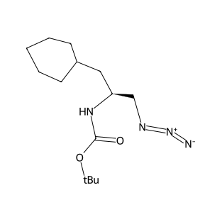 CC(C)(C)OC(=O)N[C@H](CN=[N+]=[N-])CC1CCCCC1